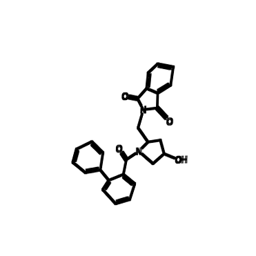 O=C1c2ccccc2C(=O)N1CC1CC(O)CN1C(=O)c1ccccc1-c1ccccc1